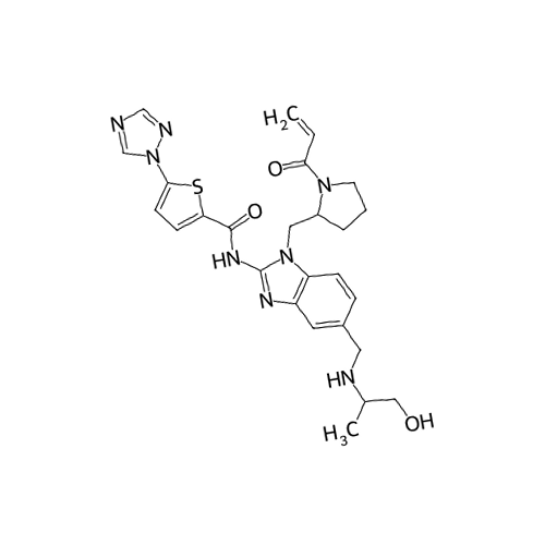 C=CC(=O)N1CCCC1Cn1c(NC(=O)c2ccc(-n3cncn3)s2)nc2cc(CNC(C)CO)ccc21